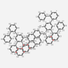 Fc1cc(-c2ccccc2-c2ccccc2)cc(-c2ccccc2-c2ccccc2)c1N(c1ccccc1)c1ccc2ccc3c(N(c4ccccc4)c4c(F)cc(-c5ccccc5-c5ccccc5)cc4-c4ccccc4-c4ccccc4)ccc4ccc1c2c43